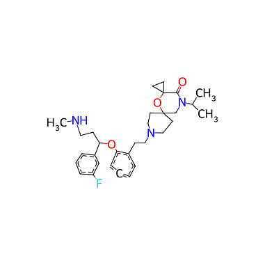 CNCCC(Oc1ccccc1CCN1CCC2(CC1)CN(C(C)C)C(=O)C1(CC1)O2)c1cccc(F)c1